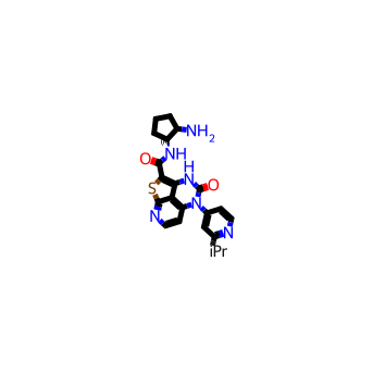 CC(C)c1cc(N2C(=O)Nc3c(C(=O)N[C@@H]4CCCC4N)sc4nccc2c34)ccn1